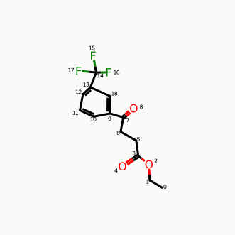 CCOC(=O)CCC(=O)c1cccc(C(F)(F)F)c1